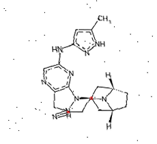 Cc1cc(Nc2cnc3c(n2)N([C@@H]2C[C@H]4CC[C@@H](C2)N4CCC#N)NC3)n[nH]1